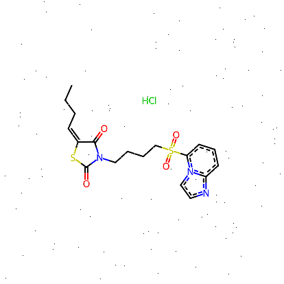 CCCC=C1SC(=O)N(CCCCS(=O)(=O)c2cccc3nccn23)C1=O.Cl